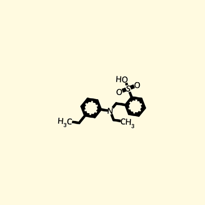 CCc1cccc(N(CC)Cc2ccccc2S(=O)(=O)O)c1